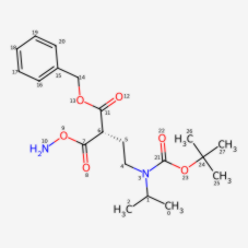 CC(C)N(CC[C@H](C(=O)ON)C(=O)OCc1ccccc1)C(=O)OC(C)(C)C